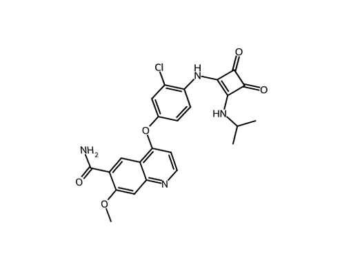 COc1cc2nccc(Oc3ccc(Nc4c(NC(C)C)c(=O)c4=O)c(Cl)c3)c2cc1C(N)=O